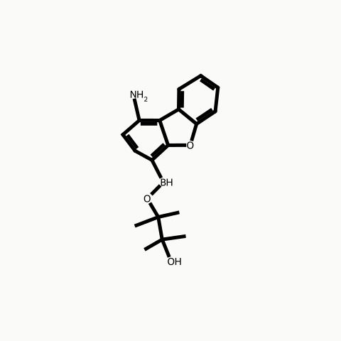 CC(C)(O)C(C)(C)OBc1ccc(N)c2c1oc1ccccc12